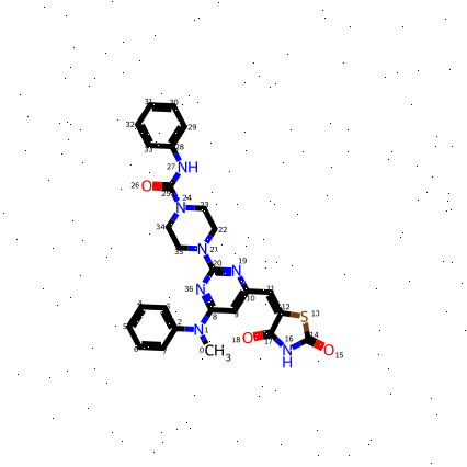 CN(c1ccccc1)c1cc(C=C2SC(=O)NC2=O)nc(N2CCN(C(=O)Nc3ccccc3)CC2)n1